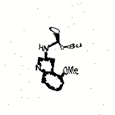 COc1cccc2ncc(NC(=O)OC(C)(C)C)cc12